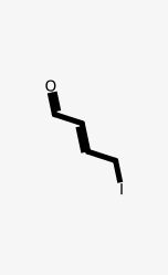 O=CC=CCI